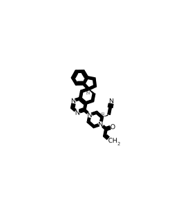 C=CC(=O)N1CCN(c2ncnc3c2CC[C@@]2(CCc4ccccc42)C3)C[C@@H]1CC#N